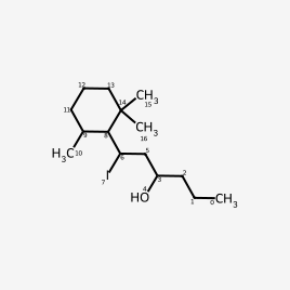 CCCC(O)CC(I)C1C(C)CCCC1(C)C